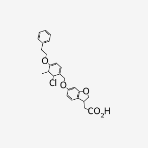 CC1C(OCCc2ccccc2)=CC=C(COc2ccc3c(c2)OCC3CC(=O)O)C1Cl